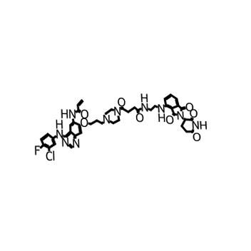 C=CC(=O)Nc1cc2c(Nc3ccc(F)c(Cl)c3)ncnc2cc1OCCCN1CCN(C(=O)CCC(=O)NCCNc2cccc3c2C(=O)N(C2CCC(=O)NC2=O)C3=O)CC1